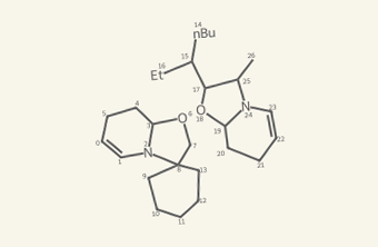 C1=CN2C(CC1)OCC21CCCCC1.CCCCC(CC)C1OC2CCC=CN2C1C